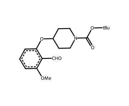 COc1cccc(OC2CCN(C(=O)OC(C)(C)C)CC2)c1C=O